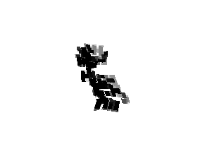 CCCCSCC(CNCc1c[nH]c2c(N)ncnc12)[C@@H](C)O